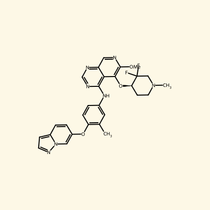 COc1ncc2ncnc(Nc3ccc(Oc4ccc5ccnn5c4)c(C)c3)c2c1O[C@@H]1CCN(C)CC1(F)F